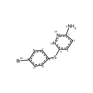 Nc1ccc(Sc2ccc(Br)cc2)nn1